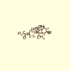 CC(=O)N1CCC(N2C(C)c3cc(Br)ccc3S2(O)O)CC1